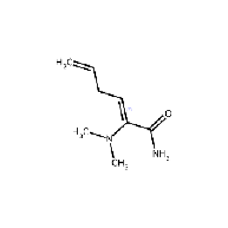 C=CC/C=C(/C(N)=O)N(C)C